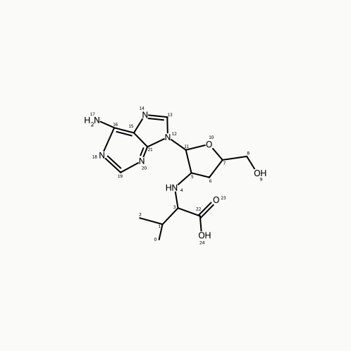 CC(C)C(NC1CC(CO)OC1n1cnc2c(N)ncnc21)C(=O)O